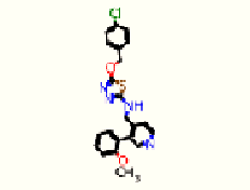 COc1ccccc1-c1cnccc1CNc1nnc(OCc2ccc(Cl)cc2)s1